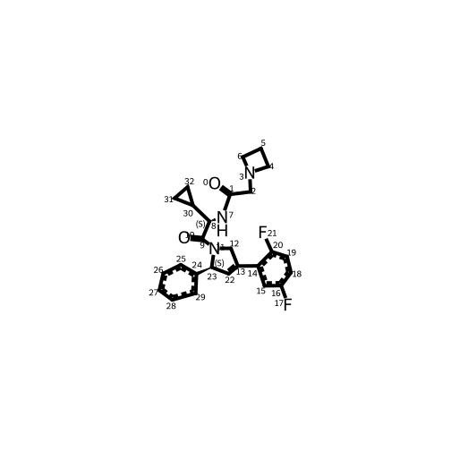 O=C(CN1CCC1)N[C@H](C(=O)N1CC(c2cc(F)ccc2F)=C[C@H]1c1ccccc1)C1CC1